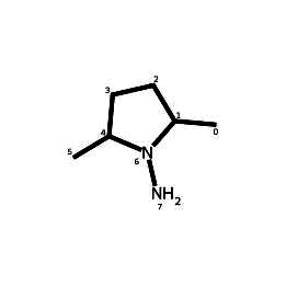 CC1CCC(C)N1N